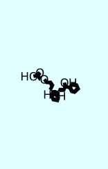 O=C(O)COC/C=C\C[C@H]1[C@@H](/C=C/C(O)c2ccccc2)[C@H]2CC[C@@H]1O2